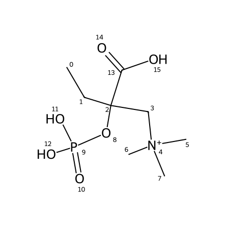 CCC(C[N+](C)(C)C)(OP(=O)(O)O)C(=O)O